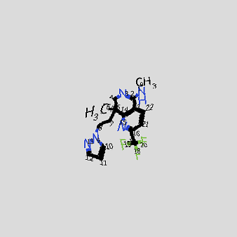 CNC1=NC[C@@](C)(CCn2cccn2)c2nc(C(F)(F)F)ccc21